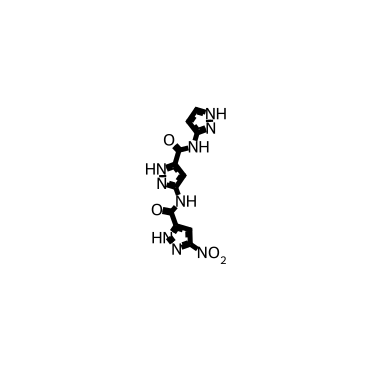 O=C(Nc1cc[nH]n1)c1cc(NC(=O)c2cc([N+](=O)[O-])n[nH]2)n[nH]1